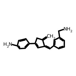 C=C1CC(c2ccc(N)cc2)=C/C1=C/c1cccc(CN)c1